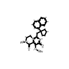 CCCCOc1c2n(c(CC3(c4cccc5ccccc45)CCCC3)nc1=O)CCN(C(C)C)C2=O